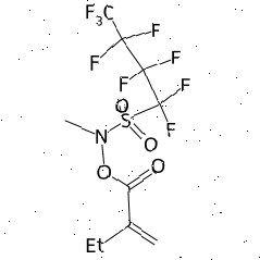 C=C(CC)C(=O)ON(C)S(=O)(=O)C(F)(F)C(F)(F)C(F)(F)C(F)(F)F